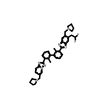 Cc1c(-c2nc3ccc(CN4CCCC4)cn3n2)cccc1-c1cccc(-c2nc3cc(CN4CCCC4)c(CC(F)F)cc3o2)c1C